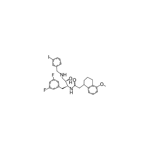 COc1cccc2c1CCCC2CC(=O)N[C@@H](Cc1cc(F)cc(F)c1)[C@H](O)CNCc1cccc(I)c1